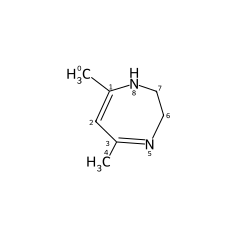 CC1=CC(C)=NCCN1